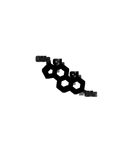 COC1=CCC2C3CC=C4C[C@@H](OC(C)=O)CC[C@]4(C)C3CC[C@]12C